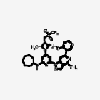 COc1ccncc1-c1cc2c(cnn2-c2cc(N3C[C@H](CS(C)(=O)=O)[C@H]3C)cc(NC3CCCCCC3)n2)c(C)n1